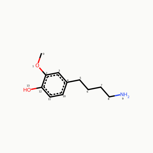 COc1cc(CCCCN)ccc1O